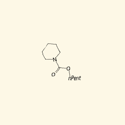 CCCCCOC(=O)N1CCCCC1